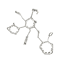 N#Cc1c(N)nc(SCc2ccccc2Cl)c(C#N)c1-c1cccs1